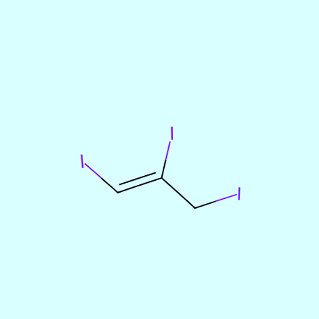 IC=C(I)CI